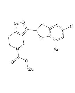 CC(C)(C)OC(=O)N1CCc2noc(C3Cc4cc(Cl)cc(Br)c4O3)c2C1